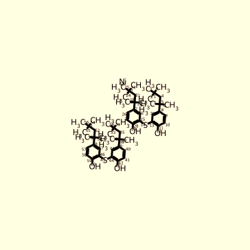 CC(C)(C)CC(C)(C)c1ccc(O)c(Sc2cc(C(C)(C)CC(C)(C)C)ccc2O)c1.CC(C)(C)CC(C)(C)c1ccc(O)c(Sc2cc(C(C)(C)CC(C)(C)C)ccc2O)c1.[Ni]